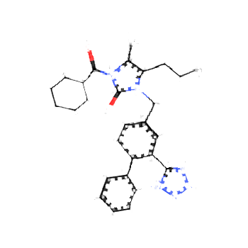 CC(C)CCc1c(C(=O)O)n(C(=O)C2CCCCC2)c(=O)n1Cc1ccc(-c2ccccc2)c(-c2nnn[nH]2)c1